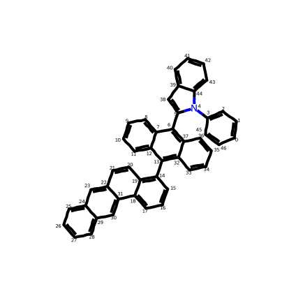 c1ccc(-n2c(-c3c4ccccc4c(-c4cccc5c4ccc4cc6ccccc6cc45)c4ccccc34)cc3ccccc32)cc1